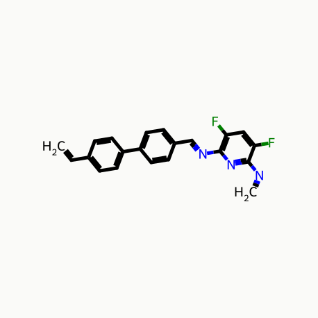 C=Cc1ccc(-c2ccc(C=Nc3nc(N=C)c(F)cc3F)cc2)cc1